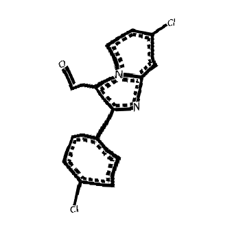 O=Cc1c(-c2ccc(Cl)cc2)nc2cc(Cl)ccn12